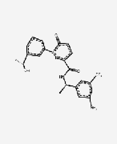 C[C@@H](O)c1cccc(-n2nc(C(=O)N[C@H](C)c3cc(N)cc(C(F)(F)F)c3)ccc2=O)c1